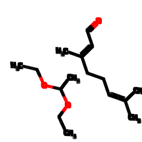 CC(C)=CCCC(C)=CC=O.CCOC(C)OCC